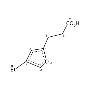 CCc1coc(CCC(=O)O)c1